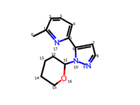 Cc1cccc(-c2ccnn2C2CCCCO2)n1